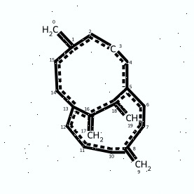 C=c1cccc2ccc(=C)cccc(cc1)c(=C)c2=C